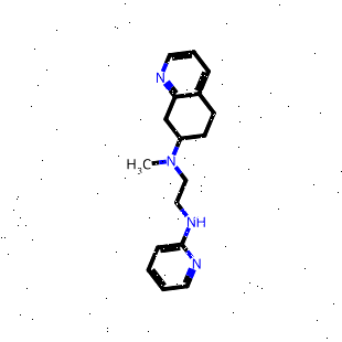 CN(CCNc1ccccn1)C1CCc2cccnc2C1